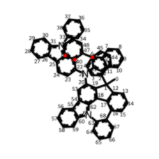 CC1(c2cccc3ccccc23)c2cccc3c2-c2c1c(N(c1ccc4c5ccccc5n(-c5ccccc5)c4c1)c1ccccc1-c1ccccc1)cc1c4ccccc4n(c21)-c1ccccc1-3